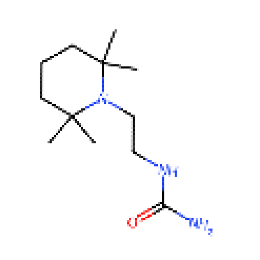 CC1(C)CCCC(C)(C)N1CCNC(N)=O